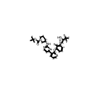 CC(C)(C)OC(=O)N1CCC[C@H](Nc2nccc(-c3cccnc3Oc3cccc(NCC(O)C(F)(F)F)c3F)n2)C1